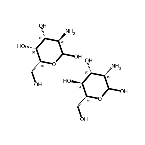 N[C@@H]1C(O)O[C@H](CO)[C@@H](O)[C@@H]1O.N[C@H]1C(O)O[C@H](CO)[C@H](O)[C@@H]1O